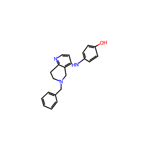 Oc1ccc(Nc2ccnc3c2CN(Cc2ccccc2)CC3)cc1